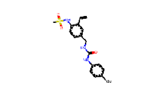 C=Cc1cc(CNC(=O)Nc2ccc(C(C)(C)C)cc2)ccc1NS(C)(=O)=O